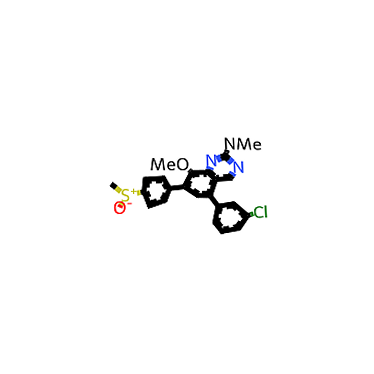 CNc1ncc2c(-c3cccc(Cl)c3)cc(-c3ccc([S+](C)[O-])cc3)c(OC)c2n1